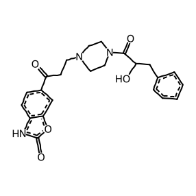 O=C(CCN1CCN(C(=O)C(O)Cc2ccccc2)CC1)c1ccc2[nH]c(=O)oc2c1